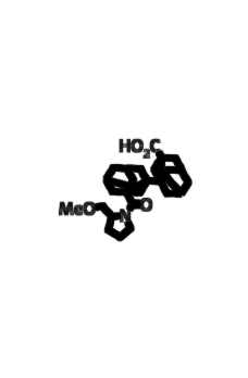 COCC1CCCN1C(=O)C12CC3CC(C1)CC(C14CC5CC(CC(C(=O)O)(C5)C1)C4)(C3)C2